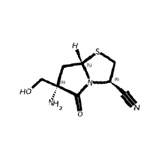 N#C[C@@H]1CS[C@H]2C[C@](N)(CO)C(=O)N12